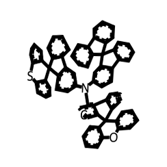 c1ccc2c(c1)Oc1ccccc1C21c2ccccc2-c2c(N(c3ccc4c(c3)-c3ccccc3C43c4ccccc4Sc4ccccc43)c3ccc4c(c3)C3(c5ccccc5-c5ccccc53)c3ccccc3-4)cccc21